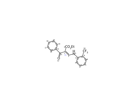 CCOC(=O)/C(=C\Nc1ccccc1C(F)(F)F)C(=O)c1ccccc1